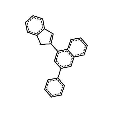 [CH]1C(c2cc(-c3ccccc3)cc3ccccc23)=Cc2ccccc21